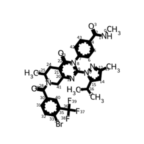 CNC(=O)c1ccc(-n2c(-n3nc(C)cc3C(C)C)nc3c(c2=O)CC(C)N(C(=O)c2ccc(Br)c(C(F)(F)F)c2)C3)cc1